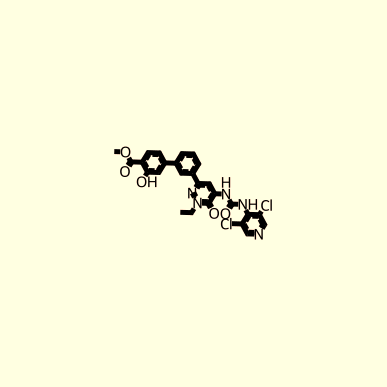 CCn1nc(-c2cccc(-c3ccc(C(=O)OC)c(O)c3)c2)cc(NC(=O)Nc2c(Cl)cncc2Cl)c1=O